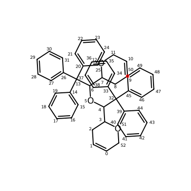 C1=CCC(C(OC(C2CC=CCO2)C(c2ccccc2)(c2ccccc2)c2ccccc2)C(c2ccccc2)(c2ccccc2)c2ccccc2)OC1